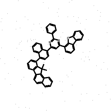 CC1(C)c2c(cccc2-c2ccc(-c3cc(-c4cccc5c4oc4ccccc45)nc(-c4ccccc4)n3)c3ccccc23)-c2ccc3ccccc3c21